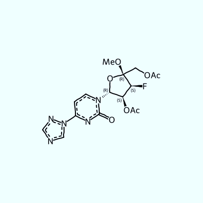 CO[C@]1(COC(C)=O)O[C@@H](n2ccc(-n3cncn3)nc2=O)[C@H](OC(C)=O)[C@@H]1F